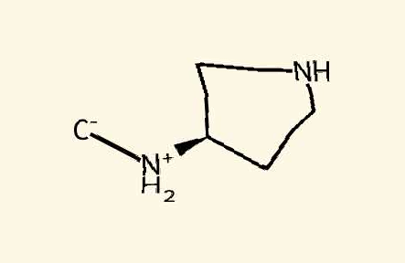 [CH2-][NH2+][C@@H]1CCNC1